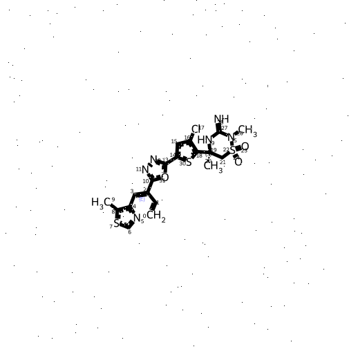 C=C/C(=C\c1ncsc1C)c1nnc(-c2cc(Cl)c([C@]3(C)CS(=O)(=O)N(C)C(=N)N3)s2)o1